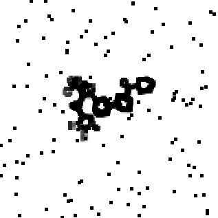 CN1C=C(C2CC2c2c(C(=O)O)cnn2-c2cccc(-c3cccc(C(=O)C4CCCCC4)c3)c2)NN1